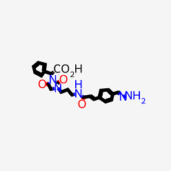 NN=Cc1ccc(C=CC(=O)NCCCN2CC(=O)N(C(C(=O)O)c3ccccc3)C2=O)cc1